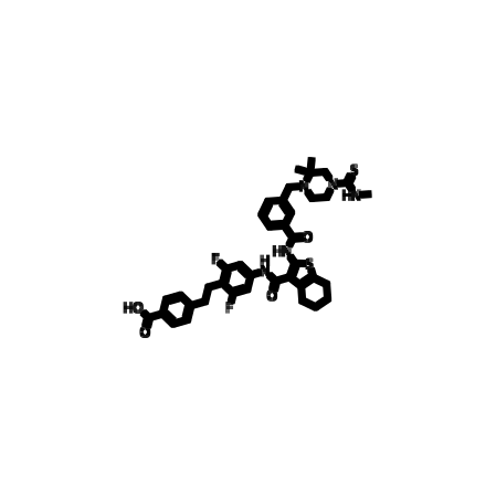 CNC(=S)N1CCN(Cc2cccc(C(=O)Nc3sc4c(c3C(=O)Nc3cc(F)c(CCc5ccc(C(=O)O)cc5)c(F)c3)CCCC4)c2)C(C)(C)C1